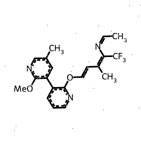 C\C=N/C(=C(C)\C=C\Oc1ncccc1-c1cc(C)cnc1OC)C(F)(F)F